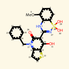 COc1cccc2c1NC(c1c(O)c3sccc3n(Cc3ccccc3)c1=O)=NS2(O)O